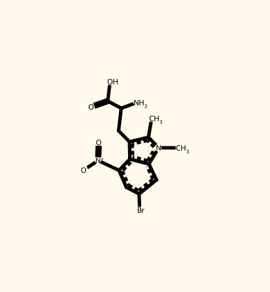 Cc1c(CC(N)C(=O)O)c2c([N+](=O)[O-])cc(Br)cc2n1C